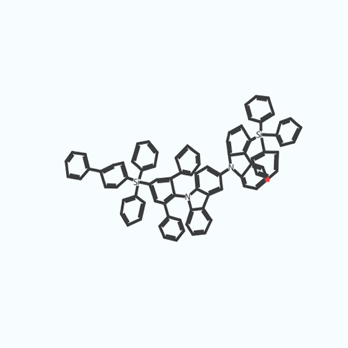 c1ccc(-c2ccc([Si](c3ccccc3)(c3ccccc3)c3cc(-c4ccccc4)c(-n4c5ccccc5c5cc(-n6c7ccccc7c7c([Si](c8ccccc8)(c8ccccc8)c8ccccc8)cccc76)ccc54)c(-c4ccccc4)c3)cc2)cc1